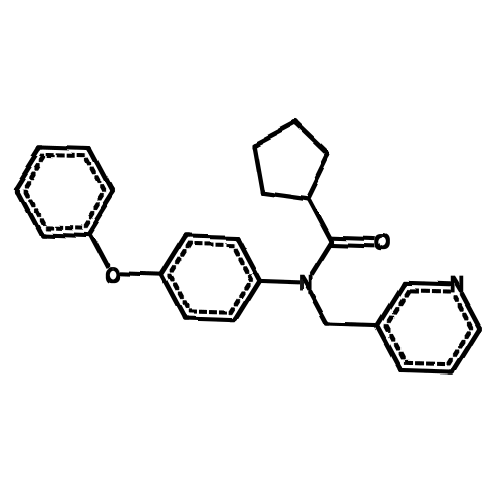 O=C(C1CCCC1)N(Cc1cccnc1)c1ccc(Oc2ccccc2)cc1